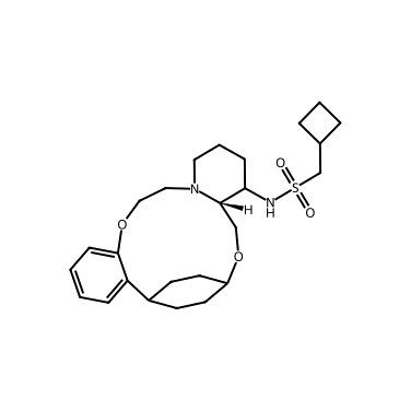 O=S(=O)(CC1CCC1)NC1CCCN2CCOc3ccccc3C3CCC(CC3)OC[C@@H]12